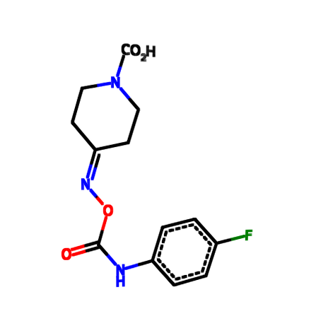 O=C(Nc1ccc(F)cc1)ON=C1CCN(C(=O)O)CC1